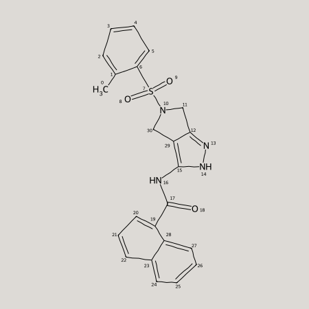 Cc1ccccc1S(=O)(=O)N1Cc2n[nH]c(NC(=O)c3cccc4ccccc34)c2C1